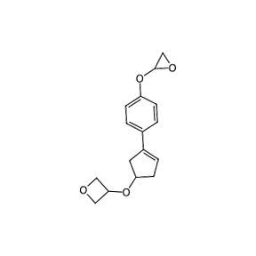 C1=C(c2ccc(OC3CO3)cc2)CC(OC2COC2)C1